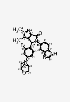 Cc1c2c(nn1C)C(=O)N(c1ccc3[nH]cnc3c1)C2c1ccc(N2CC3CC2CO3)cc1F